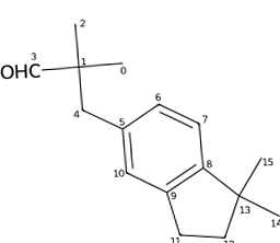 CC(C)(C=O)Cc1ccc2c(c1)CCC2(C)C